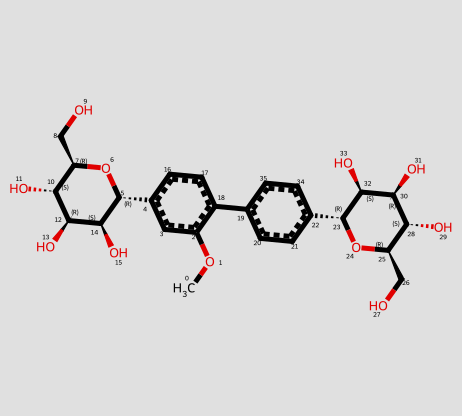 COc1cc([C@H]2O[C@H](CO)[C@@H](O)[C@H](O)[C@@H]2O)ccc1-c1ccc([C@H]2O[C@H](CO)[C@@H](O)[C@H](O)[C@@H]2O)cc1